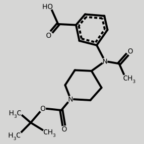 CC(=O)N(c1cccc(C(=O)O)c1)C1CCN(C(=O)OC(C)(C)C)CC1